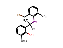 CCC(C)(Pc1c(C)cccc1CS)c1cccc(OC)c1O